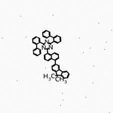 CC1(C)c2ccccc2-c2cc(-c3cccc4c(-c5nc(-c6ccccc6-c6ccccc6)nc(-c6ccccc6-c6ccccc6)n5)cccc34)ccc21